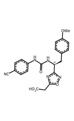 COc1ccc(C[C@H](NC(=O)Nc2ccc(C#N)cc2)c2noc(CC(=O)O)n2)cc1